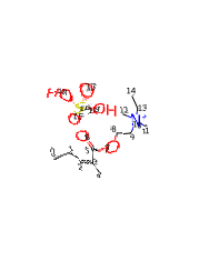 CCC=C(C)C(=O)OCC[N+](C)(C)CC.O=S(=O)(O)O